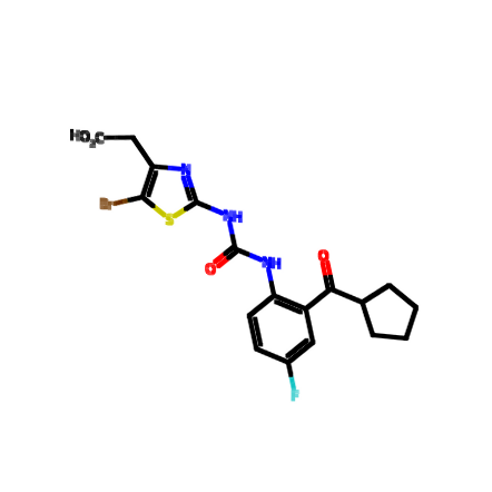 O=C(O)Cc1nc(NC(=O)Nc2ccc(F)cc2C(=O)C2CCCC2)sc1Br